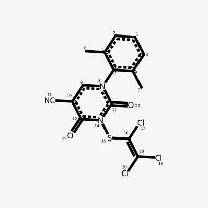 Cc1cccc(C)c1-n1cc(C#N)c(=O)n(SC(Cl)=C(Cl)Cl)c1=O